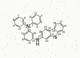 c1ccc(N(c2ccccc2)c2cccc(Nc3ccc4c(c3)sc3ccccc34)c2)cc1